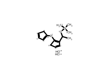 CC(O[Si](C)(C)C)C1=[C]([Zr][C]2=CC=CC2)CC=C1.Cl.Cl